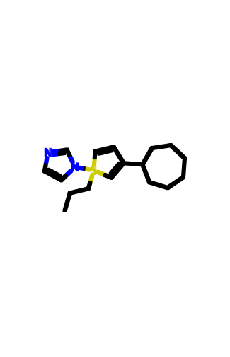 CCCS1(n2ccnc2)C=CC(C2CCCCCC2)=C1